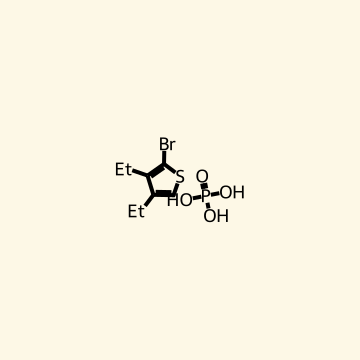 CCc1csc(Br)c1CC.O=P(O)(O)O